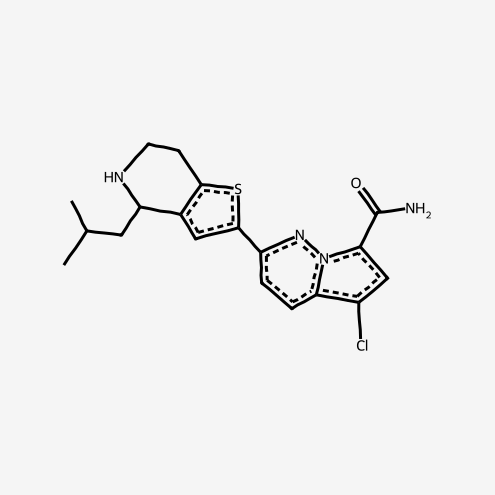 CC(C)CC1NCCc2sc(-c3ccc4c(Cl)cc(C(N)=O)n4n3)cc21